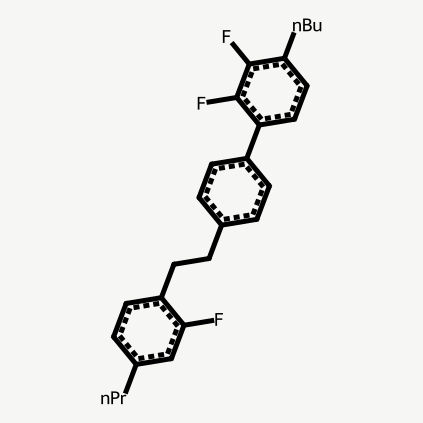 CCCCc1ccc(-c2ccc(CCc3ccc(CCC)cc3F)cc2)c(F)c1F